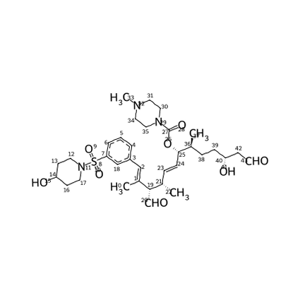 C/C(=C\c1cccc(S(=O)(=O)N2CCC(O)CC2)c1)[C@@H](C=O)[C@@H](C)/C=C/[C@H](OC(=O)N1CCN(C)CC1)[C@@H](C)CC[C@@H](O)CC=O